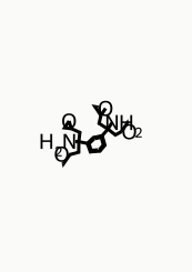 NC(CC1CO1)(CC1CO1)c1cccc(C(N)(CC2CO2)CC2CO2)c1